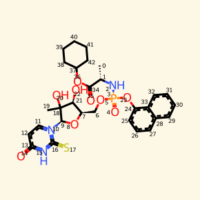 C[C@H](N[P@@](=O)(OC[C@H]1O[C@@H](n2ccc(=O)[nH]c2=S)C(C)(O)[C@H]1O)Oc1cccc2ccccc12)C(=O)OC1CCCCC1